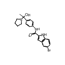 CC(O)(c1ccc(NC(=O)c2cc3cc(Br)ccc3[nH]2)cc1)N1CCCC1